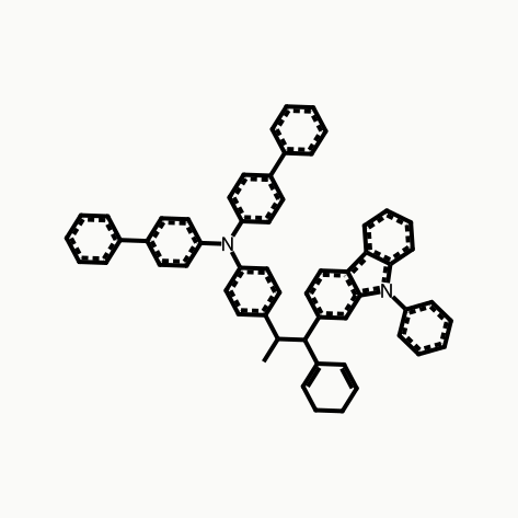 CC(c1ccc(N(c2ccc(-c3ccccc3)cc2)c2ccc(-c3ccccc3)cc2)cc1)C(C1=CCCC=C1)c1ccc2c3ccccc3n(-c3ccccc3)c2c1